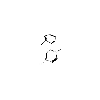 Cc1ccccc1[C@H]1C=C(C(C)C)C=CN1C